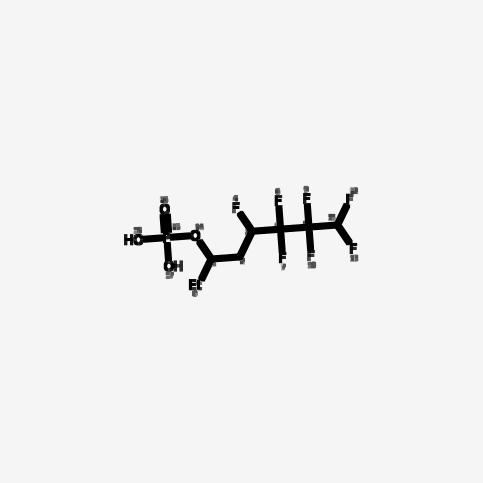 CCC(CC(F)C(F)(F)C(F)(F)C(F)F)OP(=O)(O)O